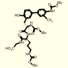 Cc1cc(-c2ccc(O)c(C[C@H](NC(=O)OC(C)(C)C)C(=O)N[C@@H](CCCNC(=O)OC(C)(C)C)C(=O)NCC(=O)O)c2)ccc1NC(=O)OC(C)(C)C